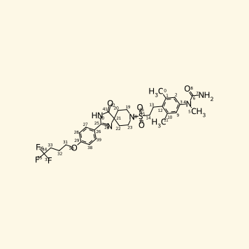 Cc1cc(N(C)C(N)=O)cc(C)c1CCS(=O)(=O)N1CCC2(CC1)N=C(c1ccc(OCCCC(F)(F)F)cc1)NC2=O